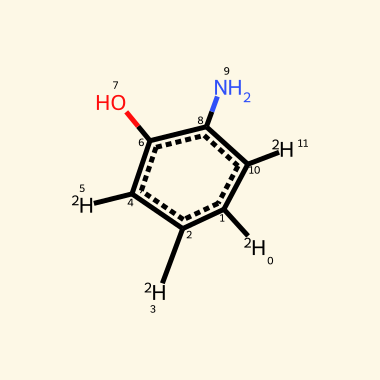 [2H]c1c([2H])c([2H])c(O)c(N)c1[2H]